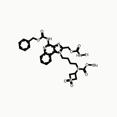 CCNC(=O)OCc1nc2c(NC(=O)OCc3ccccc3)nc3ccccc3c2n1CCCCN(C(=O)OC(C)(C)C)C1CS(=O)(=O)C1